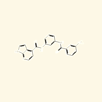 O=C(Nc1cccc(NC(=O)c2ccnc3[nH]ccc23)c1)c1cccc(C(F)(F)F)c1